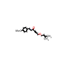 COc1ccc(/C=C/C(=O)C#CCOCC=C(C)C)cc1